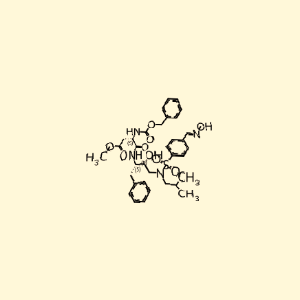 COC(=O)C[C@H](NC(=O)OCc1ccccc1)C(=O)N[C@@H](Cc1ccccc1)[C@H](O)CN(CC(C)C)S(=O)(=O)c1ccc(C=NO)cc1